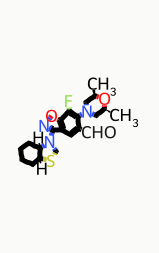 C[C@@H]1CN(c2c(C=O)cc3c(N4CS[C@H]5CCCC[C@H]54)noc3c2F)C[C@@H](C)O1